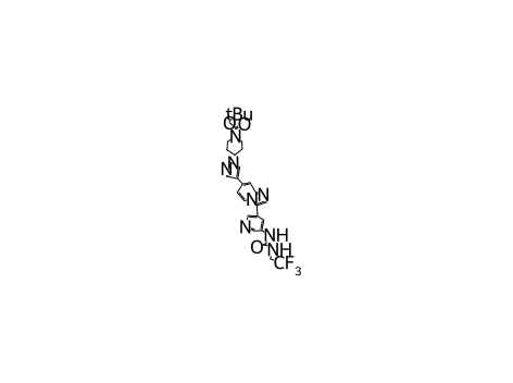 CC(C)(C)OC(=O)N1CCC(n2cc(-c3ccn4c(-c5cncc(NC(=O)NCC(F)(F)F)c5)cnc4c3)cn2)CC1